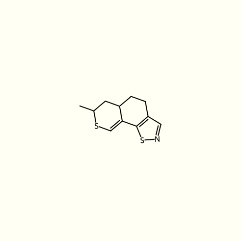 CC1CC2CCc3cnsc3C2=CS1